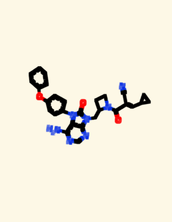 N#CC(=CC1CC1)C(=O)N1CCC1Cn1c(=O)n(-c2ccc(Oc3ccccc3)cc2)c2c(N)ncnc21